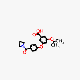 CC(C)Oc1cc(Oc2ccc(C(=O)N3CCC3)cc2)cc(C(=O)O)c1